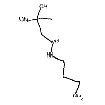 CC(O)(CNNCCCN)N=O